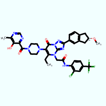 CCc1c(N2CCN(C(=O)c3ncnc(C)c3O)CC2)c(=O)n2nc(-c3ccc4c(c3)C[C@@H](OC)C4)nc2n1CC(=O)Nc1ccc(C(F)(F)F)cc1Cl